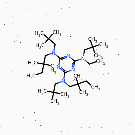 CCN(CC(C)(C)C)c1nc(N(CC(C)(C)C)CC(C)(C)CC)nc(N(CC(C)(C)C)CC(C)(C)CC)n1